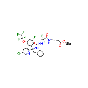 CC(C)(C)OC(=O)CCCNC(=O)C(F)(F)CNC(=O)N[C@@](Cc1ccccc1)(c1cc(F)cc(OC(F)(F)C(F)F)c1)c1ccc(Cl)cn1